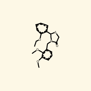 CCOc1ccccc1C1SCC(=O)N1Cc1cccc(OC)c1OC